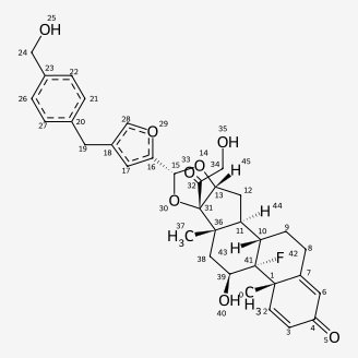 C[C@]12C=CC(=O)C=C1CC[C@H]1[C@@H]3C[C@H]4O[C@@H](c5cc(Cc6ccc(CO)cc6)co5)O[C@@]4(C(=O)CO)[C@@]3(C)C[C@H](O)[C@@]12F